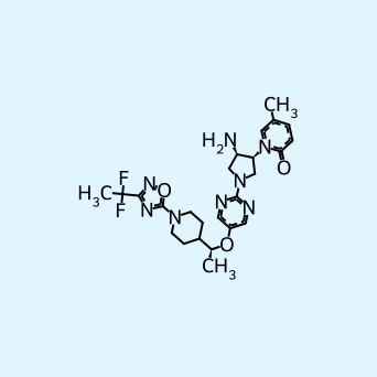 Cc1ccc(=O)n([C@H]2CN(c3ncc(O[C@@H](C)C4CCN(c5nc(C(C)(F)F)no5)CC4)cn3)C[C@H]2N)c1